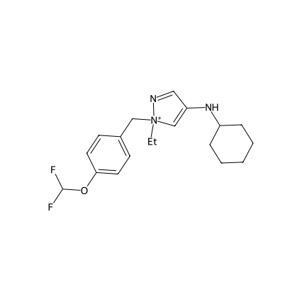 CC[N+]1(Cc2ccc(OC(F)F)cc2)C=C(NC2CCCCC2)C=N1